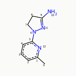 Cc1cccc(N2CCC(N)=N2)n1